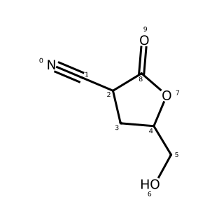 N#CC1CC(CO)OC1=O